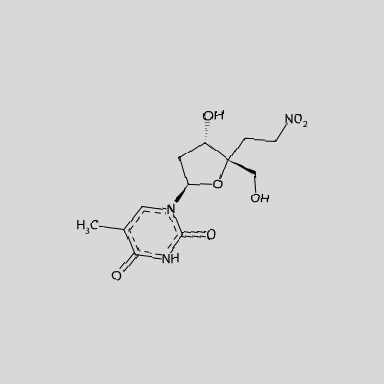 Cc1cn([C@H]2C[C@H](O)[C@](CO)(CC[N+](=O)[O-])O2)c(=O)[nH]c1=O